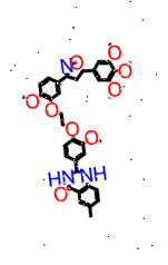 COc1cc(C2NC(=O)c3cc(C)ccc3N2)ccc1OCCOc1cc(C2=NOC(c3cc(OC)c(OC)c(OC)c3)C2)ccc1OC